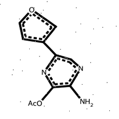 CC(=O)Oc1nc(-c2ccoc2)cnc1N